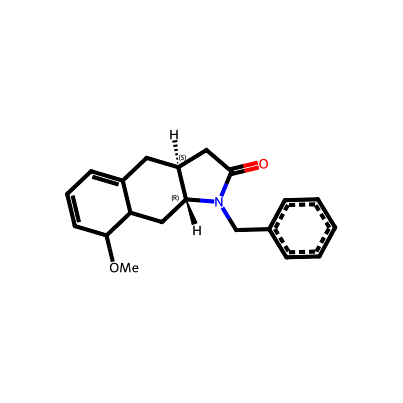 COC1C=CC=C2C[C@H]3CC(=O)N(Cc4ccccc4)[C@@H]3CC21